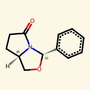 O=C1CC[C@@H]2CO[C@@H](c3ccccc3)N12